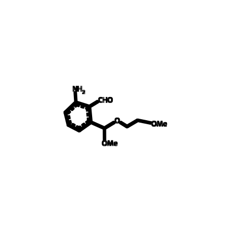 COCCOC(OC)c1cccc(N)c1C=O